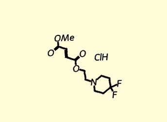 COC(=O)C=CC(=O)OCCN1CCC(F)(F)CC1.Cl